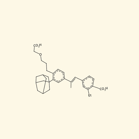 CCc1cc(/C=C(\C)c2ccc(CCCOCC(=O)O)c(C34CC5CC(CC(C5)C3)C4)c2)ccc1C(=O)O